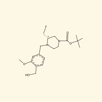 COc1cc(CN2CCN(C(=O)OC(C)(C)C)C[C@H]2CF)ccc1CO